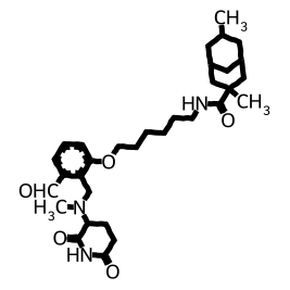 CC1CC2CC(C1)CC(C)(C(=O)NCCCCCCOc1cccc(C=O)c1CN(C)C1CCC(=O)NC1=O)C2